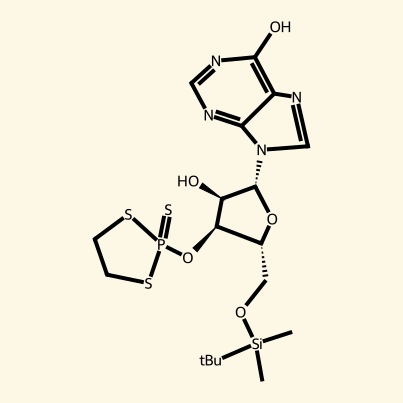 CC(C)(C)[Si](C)(C)OC[C@H]1O[C@@H](n2cnc3c(O)ncnc32)[C@H](O)[C@@H]1OP1(=S)SCCS1